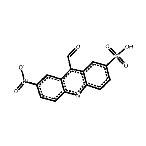 O=Cc1c2cc([N+](=O)[O-])ccc2nc2ccc(S(=O)(=O)O)cc12